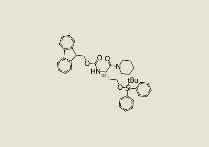 CC(C)(C)[Si](OCC[C@H](NC(=O)OCC1c2ccccc2-c2ccccc21)C(=O)N1CCCCC1)(c1ccccc1)c1ccccc1